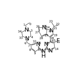 CCN1CCN(Cc2ccc(Nc3ncc(F)c(-c4cn(C(C)C)c5ncccc45)n3)nc2)CC1